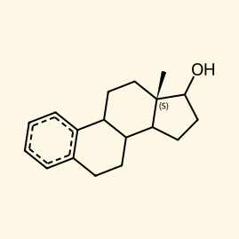 C[C@]12CCC3c4ccccc4CCC3C1CCC2O